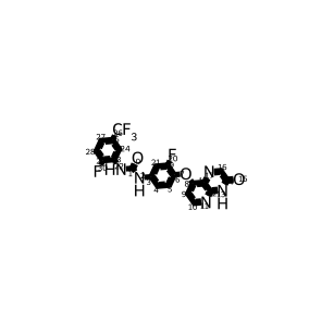 O=C(Nc1ccc(Oc2ccnc3[nH]c(=O)cnc23)c(F)c1)Nc1cc(C(F)(F)F)ccc1F